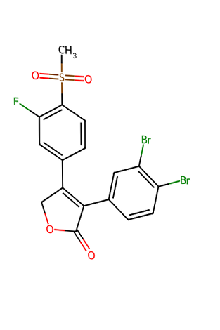 CS(=O)(=O)c1ccc(C2=C(c3ccc(Br)c(Br)c3)C(=O)OC2)cc1F